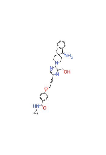 N[C@@H]1c2ccccc2CC12CCN(c1ncc(C#CCOc3ccc(C(=O)NC4CC4)cc3)nc1CO)CC2